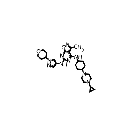 Cc1nsc2nc(Nc3cnn(C4CCOCC4)c3)nc(NC3CCC(N4CCN(C5CC5)CC4)CC3)c12